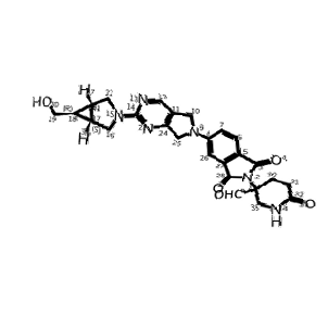 O=CC1(N2C(=O)c3ccc(N4Cc5cnc(N6C[C@@H]7[C@@H](CO)[C@@H]7C6)nc5C4)cc3C2=O)CCC(=O)NC1